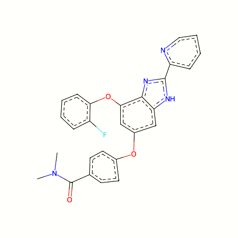 CN(C)C(=O)c1ccc(Oc2cc(Oc3ccccc3F)c3nc(-c4ccccn4)[nH]c3c2)cc1